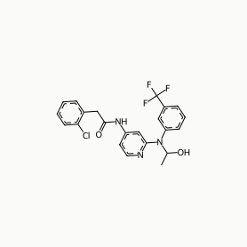 CC(O)N(c1cccc(C(F)(F)F)c1)c1cc(NC(=O)Cc2ccccc2Cl)ccn1